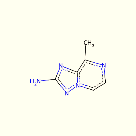 Cc1nccn2nc(N)nc12